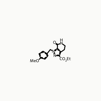 CCOC(=O)c1nn(Cc2ccc(OC)cc2)c2c1CCNC2=O